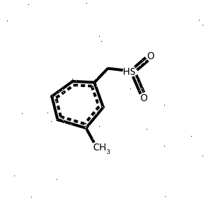 Cc1cc[c]c(C[SH](=O)=O)c1